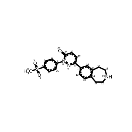 CS(=O)(=O)c1ccc(-n2nc(-c3ccc4c(c3)CCNCC4)ccc2=O)cc1